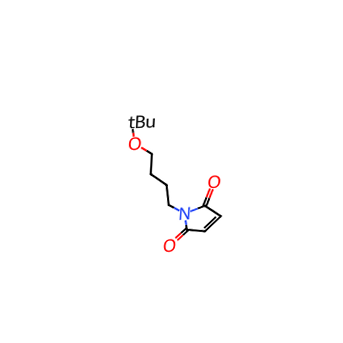 CC(C)(C)OCCCCN1C(=O)C=CC1=O